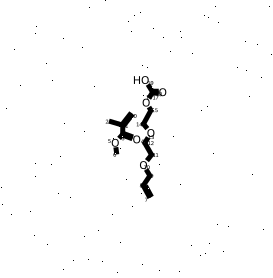 C=C(C)C(=O)OC.C=CCOCCOCCOC(=O)O